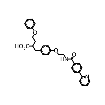 O=C(NCCOc1ccc(CC(CCOc2ccccc2)C(=O)O)cc1)c1ccc(-c2ccccn2)cc1